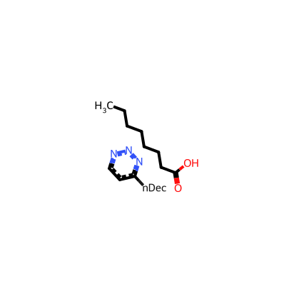 CCCCCCCC(=O)O.CCCCCCCCCCc1ccnnn1